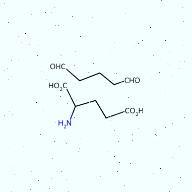 NC(CCC(=O)O)C(=O)O.O=CCCCC=O